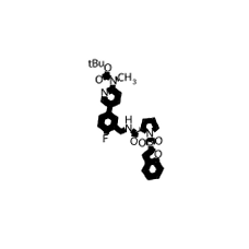 CN(C(=O)OC(C)(C)C)c1ccc(-c2ccc(F)c(CNC(=O)[C@@H]3CCCN3S(=O)(=O)c3cc4ccccc4o3)c2)cn1